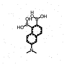 CN(C)c1ccc2c(B(O)O)c(B(O)O)ccc2c1